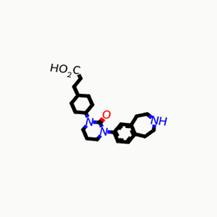 O=C(O)CCC1CCC(N2CCCN(c3ccc4c(c3)CCNCC4)C2=O)CC1